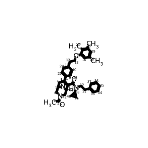 CC(=O)N1CC2CC(c3ccc(CCOc4cc(C)cc(C)c4C)cc3)=C(C(=O)N(CCc3ccccc3)C3CC3)[C@@H](C1)N2